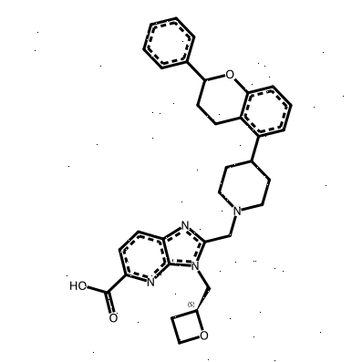 O=C(O)c1ccc2nc(CN3CCC(c4cccc5c4CCC(c4ccccc4)O5)CC3)n(C[C@@H]3CCO3)c2n1